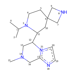 CC(C)N1CCC2(CNC2)CC1C1CN(C)Cc2nccn21